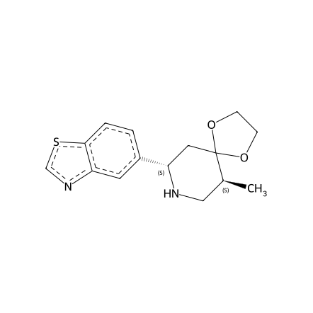 C[C@H]1CN[C@H](c2ccc3scnc3c2)CC12OCCO2